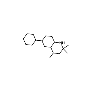 CC1CC(C)(C)NC2CCC(C3CCCCC3)CC12